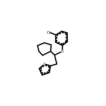 Clc1cc[c]c(OC(Cc2cccs2)C2CCCCC2)c1